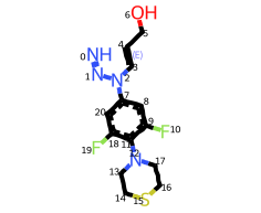 N=NN(/C=C/CO)c1cc(F)c(N2CCSCC2)c(F)c1